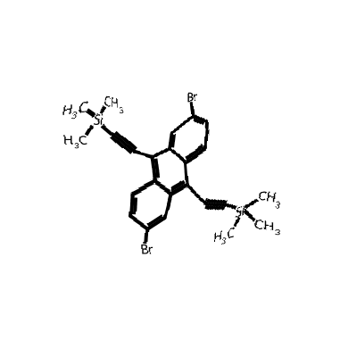 C[Si](C)(C)C#Cc1c2ccc(Br)cc2c(C#C[Si](C)(C)C)c2ccc(Br)cc12